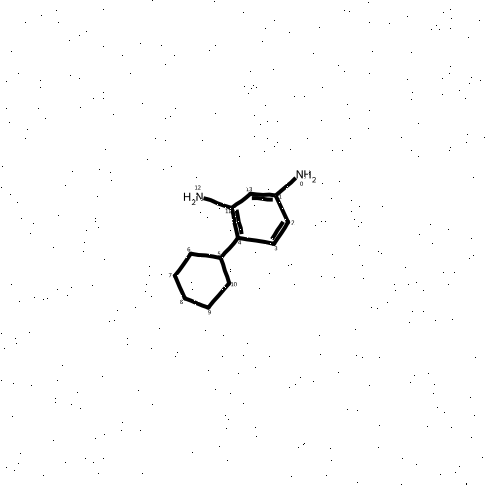 Nc1ccc(C2CCCCC2)c(N)c1